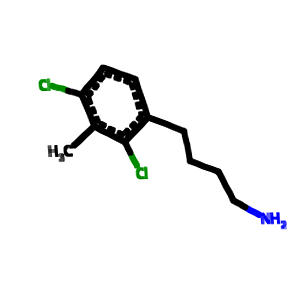 Cc1c(Cl)ccc(CCCCN)c1Cl